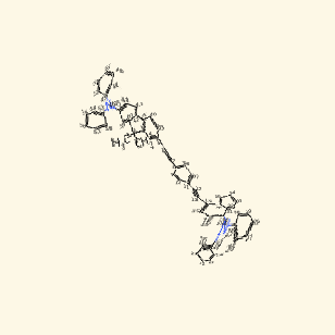 CC1(C)c2cc(C#Cc3ccc(C#Cc4ccc(N(c5ccccc5)c5ccccc5)c5ccccc45)cc3)ccc2-c2ccc(N(c3ccccc3)c3ccccc3)cc21